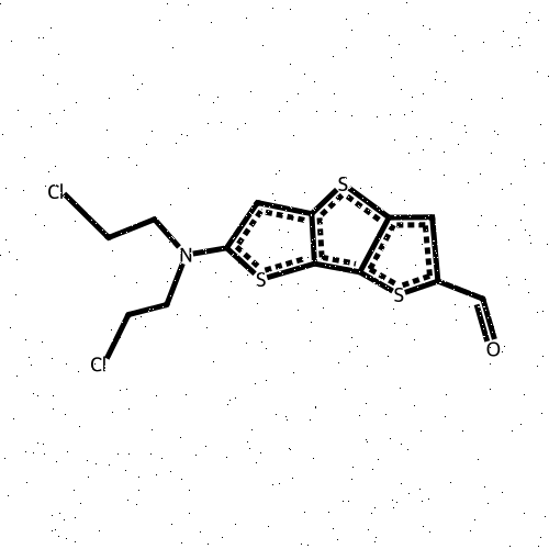 O=Cc1cc2sc3cc(N(CCCl)CCCl)sc3c2s1